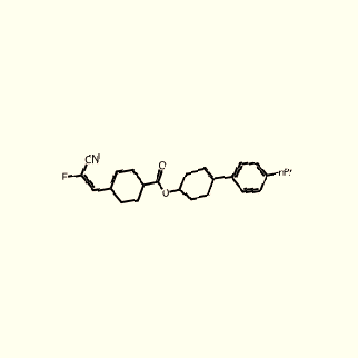 CCCc1ccc(C2CCC(OC(=O)C3CCC(/C=C(/F)C#N)CC3)CC2)cc1